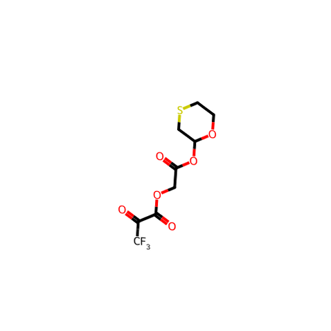 O=C(COC(=O)C(=O)C(F)(F)F)OC1CSCCO1